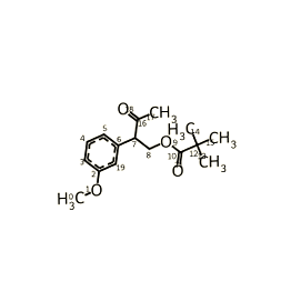 COc1cccc(C(COC(=O)C(C)(C)C)C(C)=O)c1